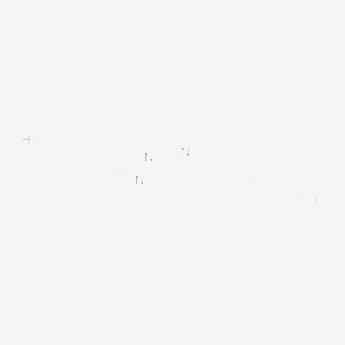 CCCCCCCCOc1cnc(-c2ccc(CCCCOCCCCCC)nc2)cn1